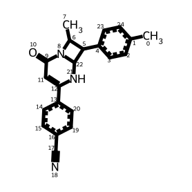 Cc1ccc(C2C(C)N3C(=O)C=C(c4ccc(C#N)cc4)NC23)cc1